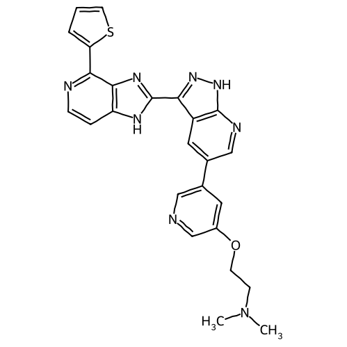 CN(C)CCOc1cncc(-c2cnc3[nH]nc(-c4nc5c(-c6cccs6)nccc5[nH]4)c3c2)c1